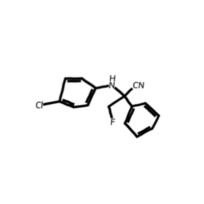 N#CC(CF)(Nc1ccc(Cl)cc1)c1ccccc1